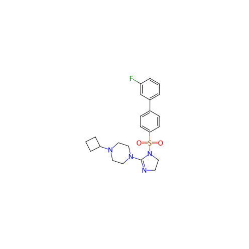 O=S(=O)(c1ccc(-c2cccc(F)c2)cc1)N1CCN=C1N1CCN(C2CCC2)CC1